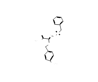 COC(=O)/C(=N/OS(=O)(=O)Cc1ccccc1)SCc1ccc(SC)cc1